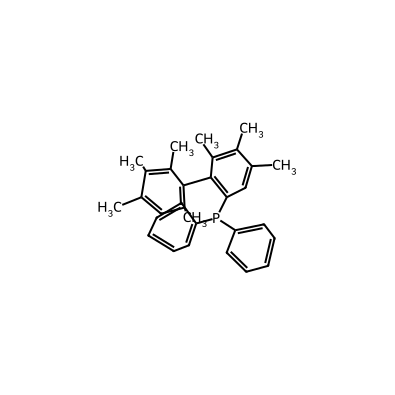 Cc1cc(C)c(-c2c(P(c3ccccc3)c3ccccc3)cc(C)c(C)c2C)c(C)c1C